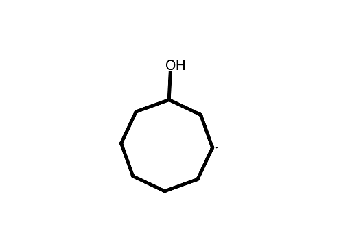 OC1C[CH]CCCCC1